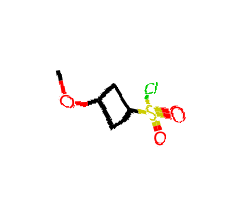 COC1CC(S(=O)(=O)Cl)C1